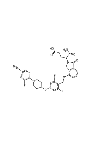 N#Cc1ccc(N2CCC(Sc3cc(F)c(COc4cccc5c4CN(C(CCC(=O)O)C(N)=O)C5=O)c(F)c3)CC2)c(F)c1